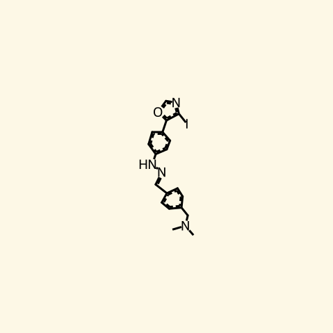 CN(C)Cc1ccc(C=NNc2ccc(-c3ocnc3I)cc2)cc1